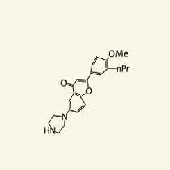 CCCc1cc(-c2cc(=O)c3cc(N4CCNCC4)ccc3o2)ccc1OC